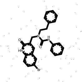 O=C(Nc1ccccc1)N(CCc1ccccc1)Cc1cc2cc(Br)ccc2[nH]c1=O